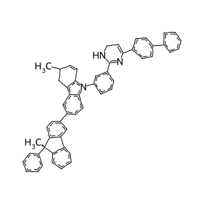 CC1C=Cc2c(c3cc(-c4ccc5c(c4)-c4ccccc4[C@]5(C)c4ccccc4)ccc3n2-c2cccc(C3=NC(c4ccc(-c5ccccc5)cc4)=CCN3)c2)C1